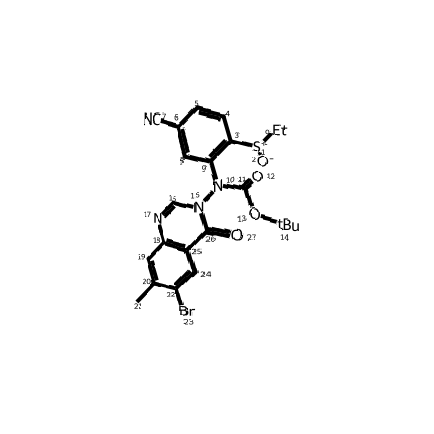 CC[S+]([O-])c1ccc(C#N)cc1N(C(=O)OC(C)(C)C)n1cnc2cc(C)c(Br)cc2c1=O